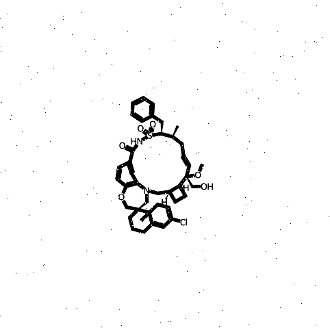 CO[C@@]1(CO)/C=C/C[C@H](C)[C@H](Cc2ccccc2)S(=O)(=O)NC(=O)c2ccc3c(c2)N(C[C@@H]2CC[C@H]21)C[C@@]1(CCCC2=CC(Cl)=CCC21C)CO3